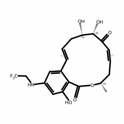 C[C@H]1C/C=C\C(=O)[C@@H](O)[C@@H](O)C/C=C/c2cc(NCC(F)(F)F)cc(O)c2C(=O)O1